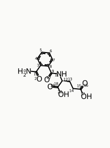 NC(=O)c1ccccc1C(=O)N[C@@H](CCC(=O)O)C(=O)O